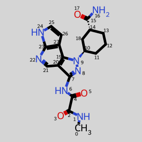 CNC(=O)C(=O)Nc1nn([C@@H]2CCC[C@@H](C(N)=O)C2)c2c1cnc1[nH]ccc12